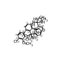 CNN1c2c(ccc(-c3ccc(Cl)c(OC)c3)c2C(N)(c2ccccc2)C(C)C)NC(NC)(NC)C1C=O